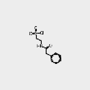 O=C(Cc1ccccc1)NCCS(=O)(=O)Cl